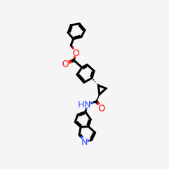 O=C(OCc1ccccc1)c1ccc([C@@H]2C[C@H]2C(=O)Nc2ccc3cnccc3c2)cc1